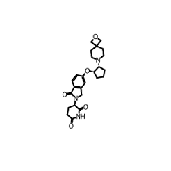 O=C1CCC(N2Cc3cc(O[C@@H]4CCC[C@H]4N4CCC5(CC4)COC5)ccc3C2=O)C(=O)N1